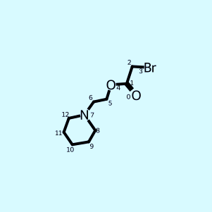 O=C(CBr)OCCN1CCCCC1